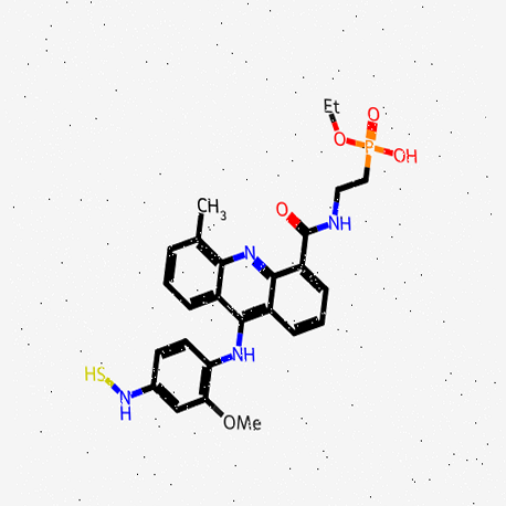 CCOP(=O)(O)CCNC(=O)c1cccc2c(Nc3ccc(NS)cc3OC)c3cccc(C)c3nc12